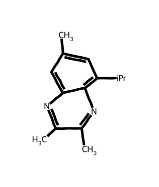 Cc1cc(C(C)C)c2nc(C)c(C)nc2c1